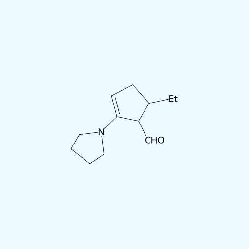 CCC1CC=C(N2CCCC2)C1C=O